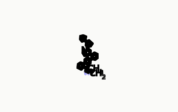 C=C/C=C\c1c(C)c2cc(-c3ccccc3C3C=CC=NC(c4cccc(-c5ccccc5)c4)=C3)ccc2c2ccccc12